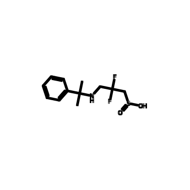 CC(C)(NCC(F)(F)CS(=O)O)c1ccccc1